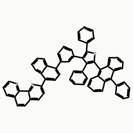 c1ccc(-c2oc(-c3c4ccccc4c(-c4ccccc4)c4ccccc34)c(-c3ccccc3)c2-c2cccc(-c3ccc(-c4ccc5ccc6cccnc6c5n4)c4ccccc34)c2)cc1